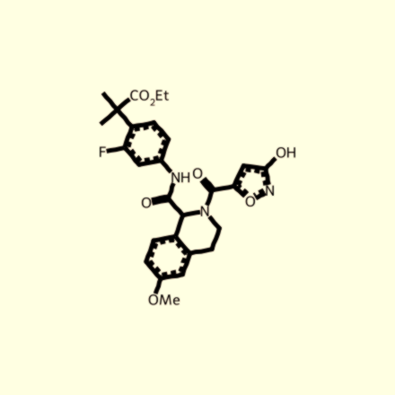 CCOC(=O)C(C)(C)c1ccc(NC(=O)C2c3ccc(OC)cc3CCN2C(=O)c2cc(O)no2)cc1F